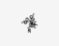 CCOC(=O)CC(CC(=O)OCC)OP(OCCC#N)N(C(C)C)C(C)C